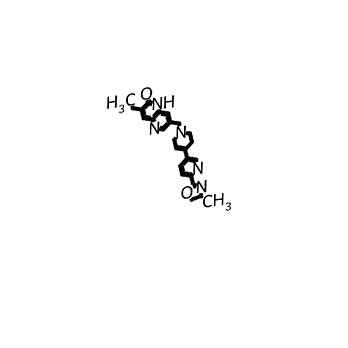 CCc1cc2ncc(CN3CC=C(c4ccc(C5=N[C@@H](C)CO5)nc4)CC3)cc2[nH]c1=O